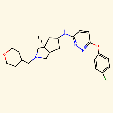 Fc1ccc(Oc2ccc(NC3CC4CN(CC5CCOCC5)C[C@H]4C3)nn2)cc1